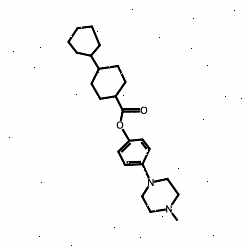 CN1CCN(c2ccc(OC(=O)C3CCC(C4CCCCC4)CC3)cc2)CC1